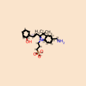 CC1(C)C(/C=C/c2ccccc2O)=[N+](CCCS(=O)(=O)[O-])c2ccc(CN)cc21